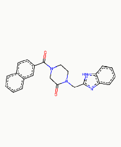 O=C1CN(C(=O)c2ccc3ccccc3c2)CCN1Cc1nc2ccccc2[nH]1